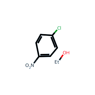 CCO.O=[N+]([O-])c1ccc(Cl)cc1